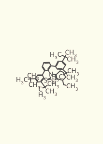 CCC1CCCc2c1sc(=S)n2-c1c(-c2cc(C(C)(C)C)cc(C(C)(C)C)c2)cccc1-c1cc(C(C)(C)C)cc(C(C)(C)C)c1